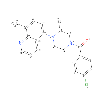 CCC1CN(C(=O)c2ccc(Cl)cc2)CCN1c1ccc([N+](=O)[O-])c2ncccc12